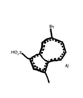 Cc1cc(S(=O)(=O)O)c2cc(C(C)C)cccc1-2.[Al]